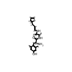 Cc1cc(O)cc(C)c1C[C@H](N)C(=O)N[C@H](C)C(=O)NC=CCc1cccs1